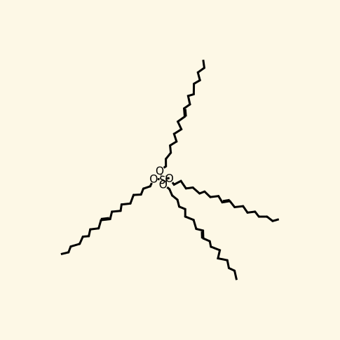 CCCCCCCCC=CCCCCCCCCO[Si](OCCCCCCCCC=CCCCCCCCC)(OCCCCCCCCC=CCCCCCCCC)OCCCCCCCCC=CCCCCCCCC